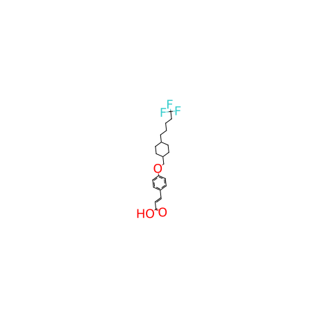 O=C(O)C=Cc1ccc(OCC2CCC(CCCCC(F)(F)F)CC2)cc1